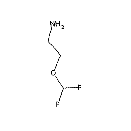 NCCOC(F)F